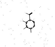 C=C(N)c1ccc(C)c(C)c1C